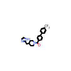 O=C(c1ccc(-c2ccc(C(F)(F)F)cc2)cc1)N1CCC(Cc2ncc[nH]2)CC1